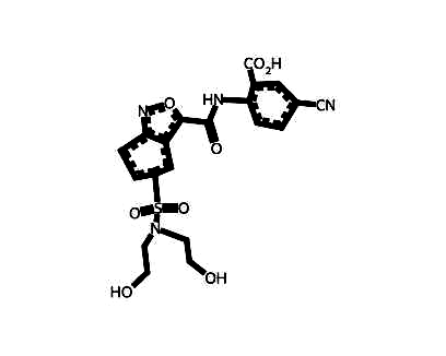 N#Cc1ccc(NC(=O)c2onc3ccc(S(=O)(=O)N(CCO)CCO)cc23)c(C(=O)O)c1